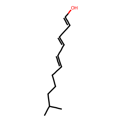 CC(C)CCCC=CC=CC=CO